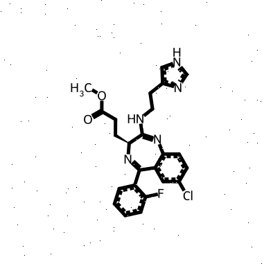 COC(=O)CC[C@@H]1N=C(c2ccccc2F)c2cc(Cl)ccc2N=C1NCCc1c[nH]cn1